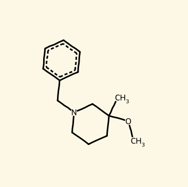 COC1(C)CCCN(Cc2ccccc2)C1